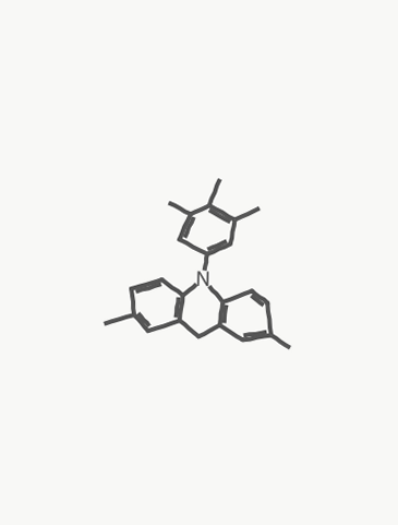 Cc1ccc2c(c1)Cc1cc(C)ccc1N2c1cc(C)c(C)c(C)c1